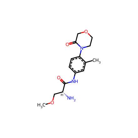 COC[C@@H](N)C(=O)Nc1ccc(N2CCOCC2=O)c(C)c1